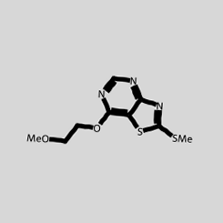 COCCOc1ncnc2nc(SC)sc12